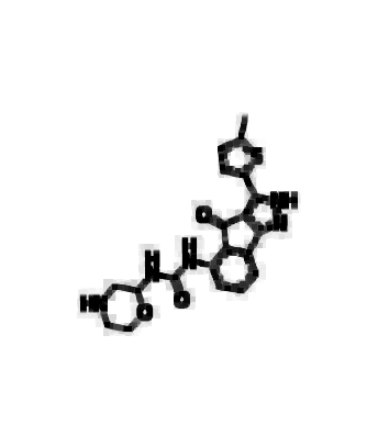 Cc1ccc(-c2[nH]nc3c2C(=O)c2c(NC(=O)NC4CNCCO4)cccc2-3)s1